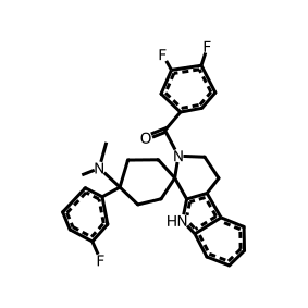 CN(C)C1(c2cccc(F)c2)CCC2(CC1)c1[nH]c3ccccc3c1CCN2C(=O)c1ccc(F)c(F)c1